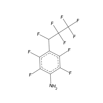 Nc1c(F)c(F)c(C(F)C(F)(F)C(F)(F)F)c(F)c1F